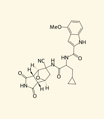 COc1cccc2[nH]c(C(=O)NC(CC3CC3)C(=O)NC3(C#N)C[C@@H]4O[C@H]3[C@H]3C(=O)NC(=O)[C@H]34)cc12